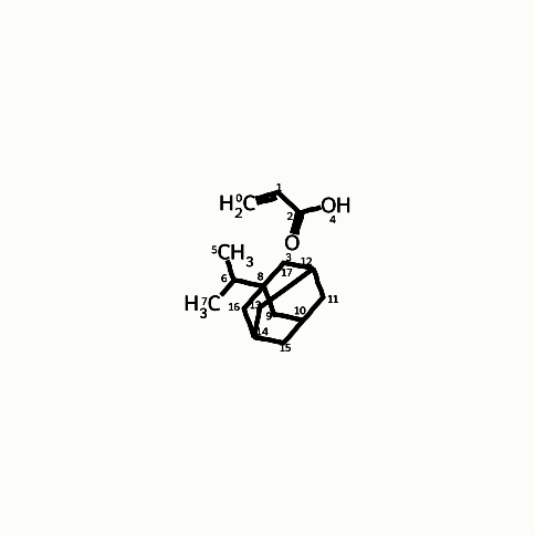 C=CC(=O)O.CC(C)C12CC3CC(CC(C3)C1)C2